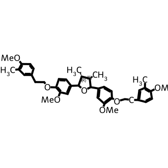 COc1ccc(CCOc2ccc(C3OC(c4ccc(OCCc5ccc(OC)c(C)c5)c(OC)c4)[C@H](C)[C@H]3C)cc2OC)cc1C